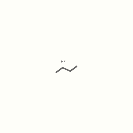 CCCC.F